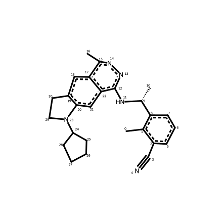 Cc1c(C#N)cccc1[C@@H](C)Nc1nnc(C)c2cc3c(cc12)N(C1CCCC1)CC3